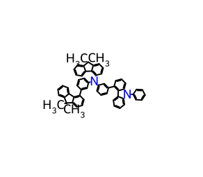 CC1(C)c2ccccc2-c2c(-c3cccc(N(c4cccc(-c5cccc6c5c5ccccc5n6-c5ccccc5)c4)c4cccc5c4-c4ccccc4C5(C)C)c3)cccc21